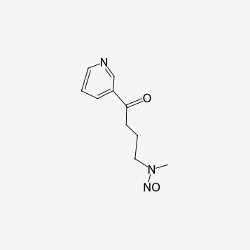 CN(CCCC(=O)c1cccnc1)N=O